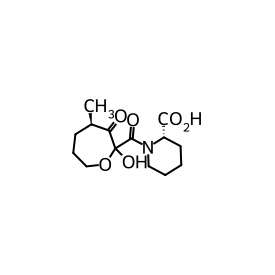 C[C@@H]1CCCOC(O)(C(=O)N2CCCC[C@H]2C(=O)O)C1=O